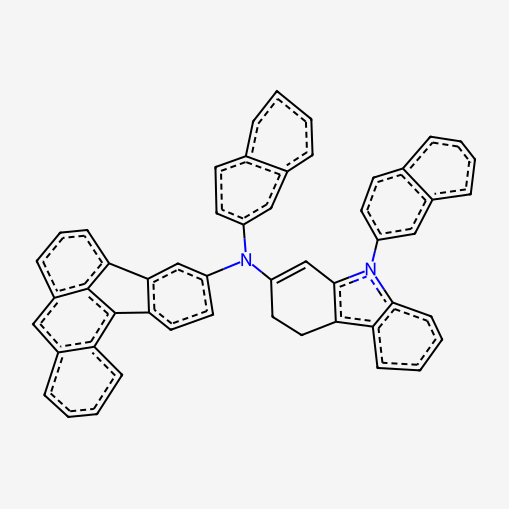 C1=C(N(c2ccc3c(c2)-c2cccc4cc5ccccc5c-3c24)c2ccc3ccccc3c2)CCc2c1n(-c1ccc3ccccc3c1)c1ccccc21